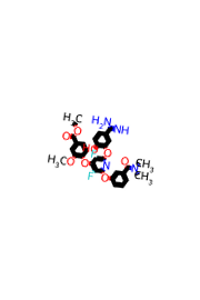 CCOC(=O)c1ccc(Oc2c(F)c(Oc3cccc(C(=O)N(C)C)c3)nc(Oc3cc(C(=N)N)ccc3O)c2F)c(OC)c1